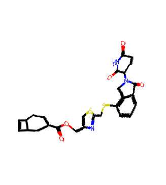 O=C1CCC(N2Cc3c(SCc4nc(COC(=O)C5CCC6C=CC6C5)cs4)cccc3C2=O)C(=O)N1